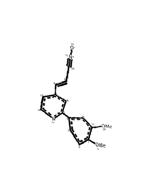 COc1ccc(-c2cc(C=CC#[N+][O-])ccn2)cc1OC